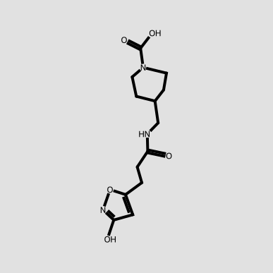 O=C(CCc1cc(O)no1)NCC1CCN(C(=O)O)CC1